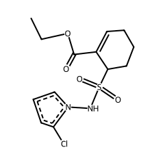 CCOC(=O)C1=CCCCC1S(=O)(=O)Nn1cccc1Cl